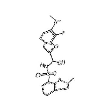 Cc1ccc2cccc(S(=O)(=O)NC(O)c3cc4ccc(N(C)C)c(F)c4o3)c2n1